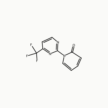 O=c1ccccn1-c1nccc(C(F)(F)F)n1